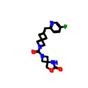 O=C1NC2(CO1)CN(C(=O)N1CC3(CC(Cc4ccc(F)cn4)C3)C1)C2